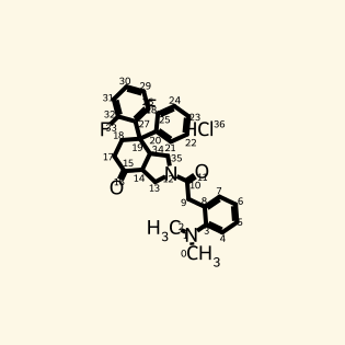 CN(C)c1ccccc1CC(=O)N1CC2C(=O)CCC(c3ccccc3F)(c3ccccc3F)C2C1.Cl